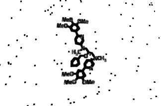 COc1cc(-c2ccc(N(C)CC(CN(C)c3ccc(-c4cc(OC)c(OC)c(OC)c4)nc3)OCc3ccccc3)cn2)cc(OC)c1OC